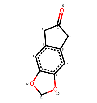 O=C1Cc2cc3c(cc2C1)OCO3